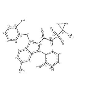 Cc1ccc2c(c1)c(-c1ccc[nH]c1=O)c(C(=O)NS(=O)(=O)C1(C)CC1)n2Cc1ccccc1F